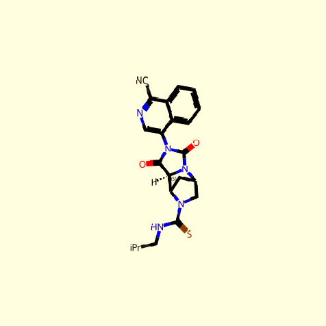 CC(C)CNC(=S)N1CC2CC1[C@H]1C(=O)N(c3cnc(C#N)c4ccccc34)C(=O)N21